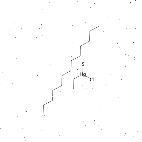 C[CH2][Hg]([SH])[Cl].[CH2]CCCCCCCCCCCC